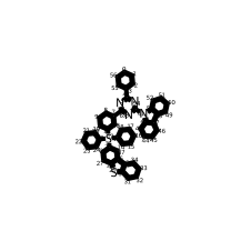 c1ccc(-c2nc(-c3cccc(S(c4ccccc4)(c4ccccc4)c4ccc5sc6ccccc6c5c4)c3)nc(-n3c4ccccc4c4ccccc43)n2)cc1